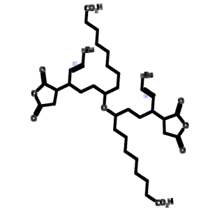 CCCC/C=C/C(CCC(CCCCCCCC(=O)O)OC(CCCCCCCC(=O)O)CCC(/C=C/CCCC)C1CC(=O)OC1=O)C1CC(=O)OC1=O